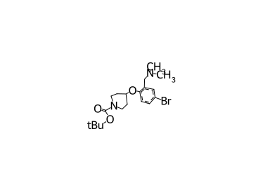 CN(C)Cc1cc(Br)ccc1OC1CCN(C(=O)OC(C)(C)C)CC1